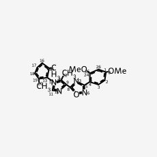 COc1ccc(-c2noc(-c3ncn(-c4c(C)cccc4C)c3C)n2)c(OC)c1